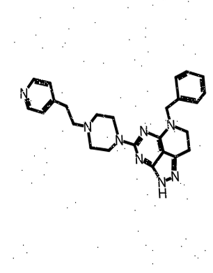 c1ccc(CN2CCc3n[nH]c4nc(N5CCN(CCc6ccncc6)CC5)nc2c34)cc1